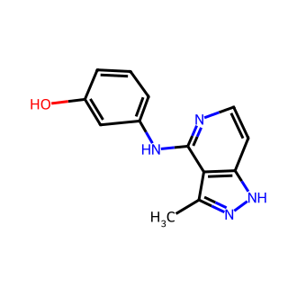 Cc1n[nH]c2ccnc(Nc3cccc(O)c3)c12